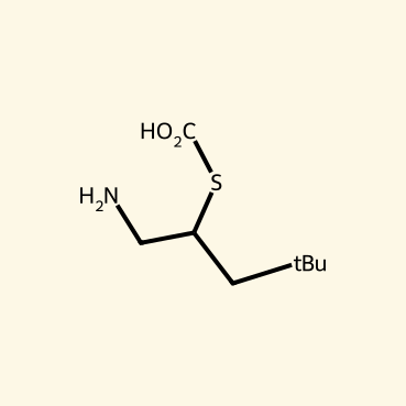 CC(C)(C)CC(CN)SC(=O)O